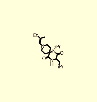 CCCN1C(=O)C(CC(C)C)NC(=O)C12CCN(C=C(C)CC)CC2